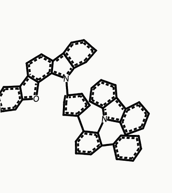 c1ccc(-c2cccc(-c3ccc(-n4c5ccccc5c5ccc6c7ccccc7oc6c54)cc3)c2-n2c3ccccc3c3ccccc32)cc1